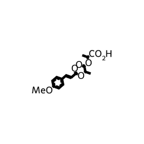 COc1ccc(/C=C/C(=O)OC(C)C(=O)OC(C)C(=O)O)cc1